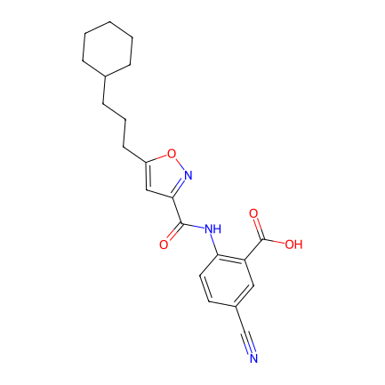 N#Cc1ccc(NC(=O)c2cc(CCCC3CCCCC3)on2)c(C(=O)O)c1